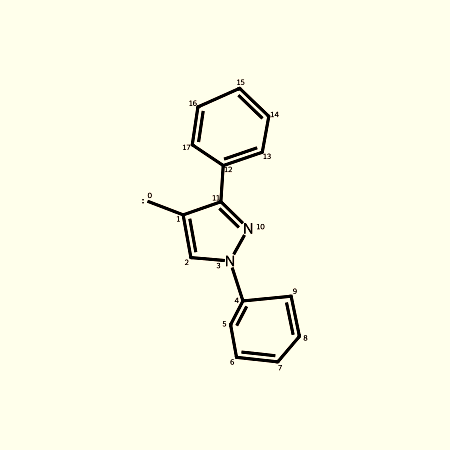 [CH]c1cn(-c2ccccc2)nc1-c1ccccc1